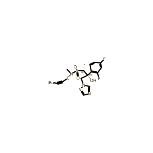 C[C@H]([C@](O)(Cn1cncn1)c1ccc(F)cc1F)S(=O)(=O)N(C)CC#CC(C)(C)C